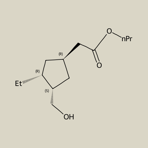 CCCOC(=O)C[C@@H]1C[C@@H](CC)[C@@H](CO)C1